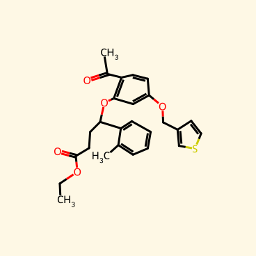 CCOC(=O)CCC(Oc1cc(OCc2ccsc2)ccc1C(C)=O)c1ccccc1C